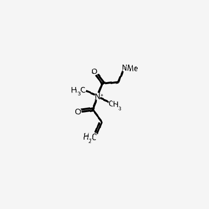 C=CC(=O)[N+](C)(C)C(=O)CNC